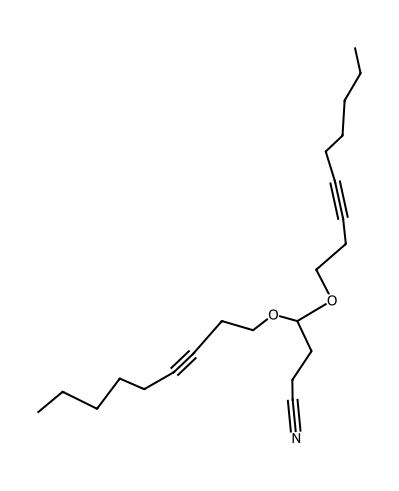 CCCCCC#CCCOC(CCC#N)OCCC#CCCCCC